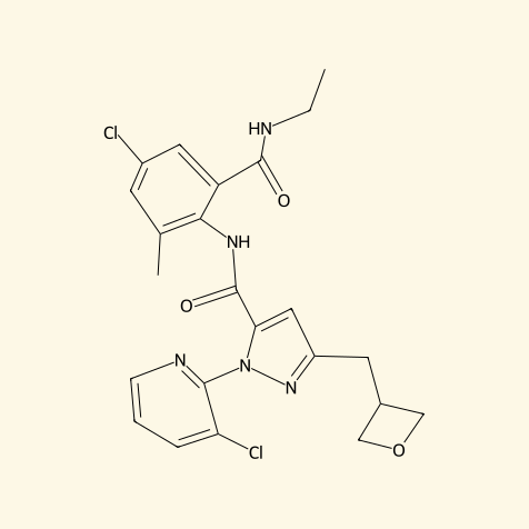 CCNC(=O)c1cc(Cl)cc(C)c1NC(=O)c1cc(CC2COC2)nn1-c1ncccc1Cl